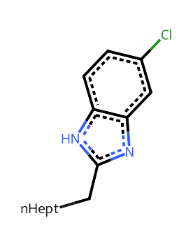 CCCCCCCCc1nc2cc(Cl)ccc2[nH]1